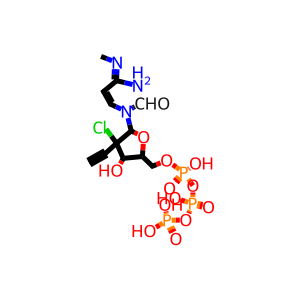 C#CC1(Cl)C(O)C(COP(=O)(O)OP(=O)(O)OP(=O)(O)O)OC1N(C=O)/C=C\C(N)=N/C